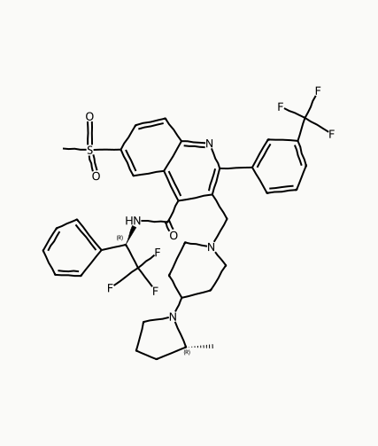 C[C@@H]1CCCN1C1CCN(Cc2c(-c3cccc(C(F)(F)F)c3)nc3ccc(S(C)(=O)=O)cc3c2C(=O)N[C@H](c2ccccc2)C(F)(F)F)CC1